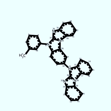 Cc1cccc(-n2c3ccc(-n4c5ccccc5n5c6ccccc6nc45)cc3n3c4ccccc4nc23)c1